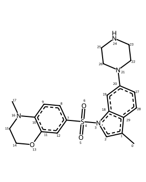 Cc1cn(S(=O)(=O)c2ccc3c(c2)OCCN3C)c2cc(N3CCNCC3)ccc12